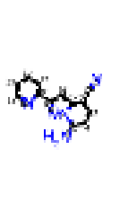 N#Cc1ccc(N)n2nc(-c3ccccn3)cc12